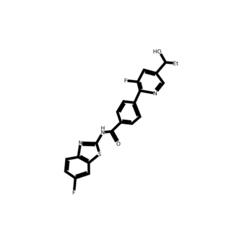 CCC(O)c1cnc(-c2ccc(C(=O)Nc3nc4ccc(F)cc4s3)cc2)c(F)c1